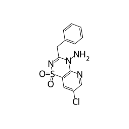 NN1C(Cc2ccccc2)=NS(=O)(=O)c2cc(Cl)cnc21